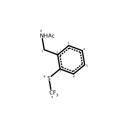 CC(=O)NCc1ccccc1SC(F)(F)F